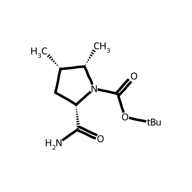 C[C@H]1C[C@@H](C(N)=O)N(C(=O)OC(C)(C)C)[C@H]1C